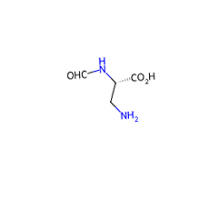 NC[C@H](NC=O)C(=O)O